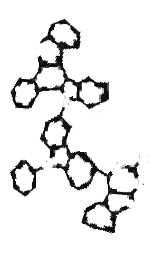 Clc1nc(-c2ccc3c(c2)c2cc(-n4c5ccccc5c5c6c7ccccc7sc6c6ccccc6c54)ccc2n3-c2ccccc2)c2c(n1)sc1ccccc12